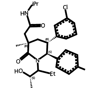 CCC([C@H](C)O)N1C(=O)[C@@](C)(CC(=O)NC(C)C)C[C@H](c2cccc(Cl)c2)[C@H]1c1ccc(C)cc1